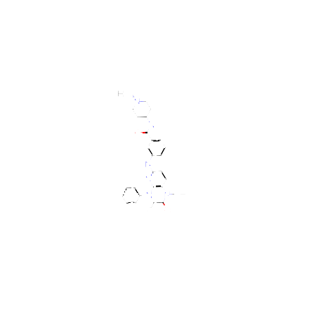 CC1C(=O)N(C)c2ccc(Nc3cccc(C(=O)NC4CCN(C)CC4)c3)nc2N1c1ccccc1